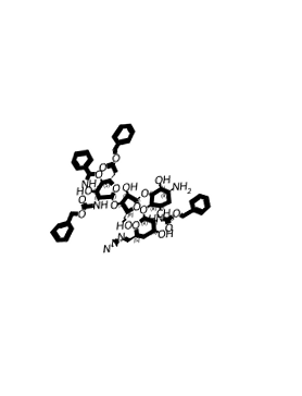 C[C@H]1C[C@@H](N)[C@H](O)[C@@H](O[C@@H]2O[C@H](CO)[C@@H](O[C@H]3O[C@@H](CC(=O)OCc4ccccc4)[C@@H](OC(N)c4ccccc4)[C@H](O)[C@H]3NC(=O)OCc3ccccc3)[C@H]2O)[C@@H]1O[C@H]1O[C@H](CN=[N+]=[N-])C[C@H](O)[C@H]1NC(=O)OCc1ccccc1